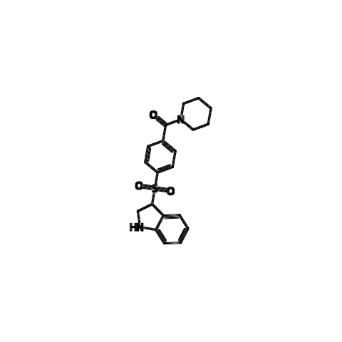 O=C(c1ccc(S(=O)(=O)C2CNc3ccccc32)cc1)N1CCCCC1